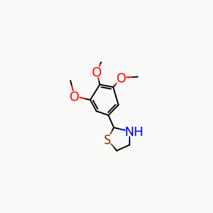 COc1cc(C2NCCS2)cc(OC)c1OC